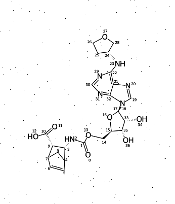 O=C(N[C@@H]1C2C=CC(C2)[C@@H]1C(=O)O)OC[C@H]1O[C@@H](n2cnc3c(N[C@@H]4CCOC4)ncnc32)[C@H](O)[C@@H]1O